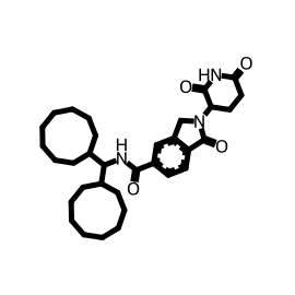 O=C1CCC(N2Cc3cc(C(=O)NC(C4CCCCCCCC4)C4CCCCCCCC4)ccc3C2=O)C(=O)N1